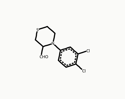 O=CC1CSCCN1c1ccc(Cl)c(Cl)c1